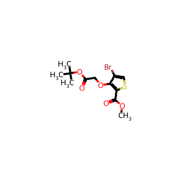 COC(=O)c1scc(Br)c1OCC(=O)OC(C)(C)C